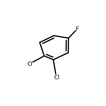 [O]c1ccc(F)cc1Cl